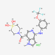 Cl.Cn1ccc2c(Nc3cccc(OC(F)(F)F)c3)ncc(C(=O)N3CCS(O)(O)CC3)c21